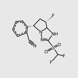 N#Cc1ccccc1[C@@H]1C[C@H](F)C2NC(S(=O)(=O)C(F)F)=NN21